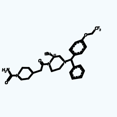 CC(C)(C)[C@H]1CN(C(c2ccccc2)c2ccc(OCC(F)(F)F)cc2)CCN1C(=O)CC1CCN(C(N)=O)CC1